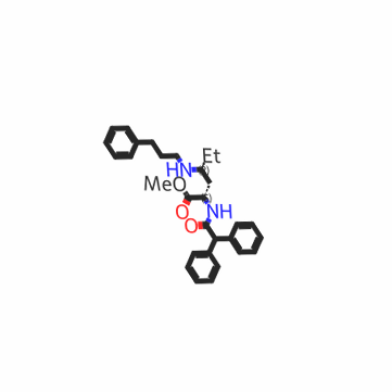 CC[C@H](C[C@H](NC(=O)C(c1ccccc1)c1ccccc1)C(=O)OC)NCCCc1ccccc1